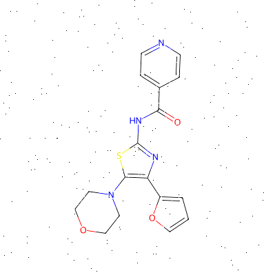 O=C(Nc1nc(-c2ccco2)c(N2CCOCC2)s1)c1ccncc1